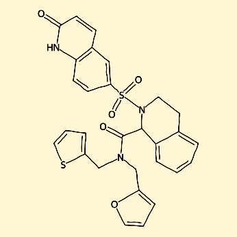 O=C(C1c2ccccc2CCN1S(=O)(=O)c1ccc2[nH]c(=O)ccc2c1)N(Cc1ccco1)Cc1cccs1